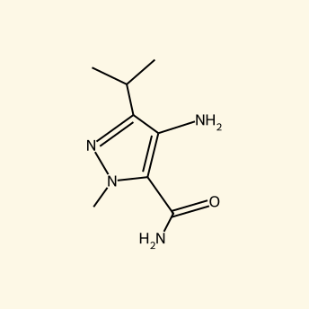 CC(C)c1nn(C)c(C(N)=O)c1N